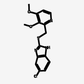 COc1ccnc(CSc2nc3cc(Cl)ccc3[nH]2)c1OC